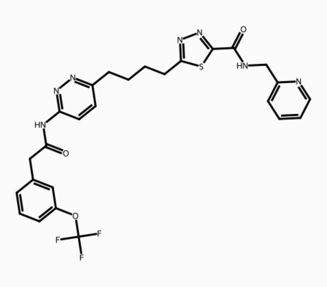 O=C(Cc1cccc(OC(F)(F)F)c1)Nc1ccc(CCCCc2nnc(C(=O)NCc3ccccn3)s2)nn1